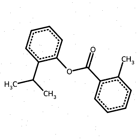 Cc1ccccc1C(=O)Oc1ccccc1C(C)C